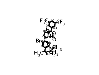 C=C(C)c1cc(Br)c([C@@H]2CC[C@H]3[C@@H](c4cc(C(F)(F)F)cc(C(F)(F)F)c4)OC(=O)N23)nc1N(C)C